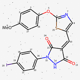 COc1ccc(Oc2ncc(C=C3C(=O)NN(c4ccc(I)cc4)C3=O)s2)cc1